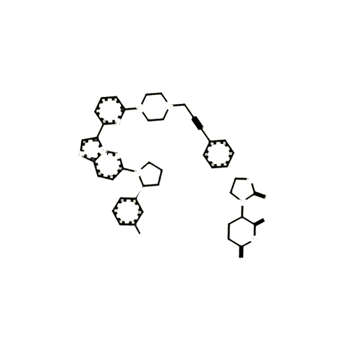 O=C1CCC(N2C[C@H](c3ccc(C#CCN4CCN(c5cccc(-c6cnc7ccc(N8CCC[C@H]8c8cccc(F)c8)nn67)n5)CC4)cc3)OC2=O)C(=O)N1